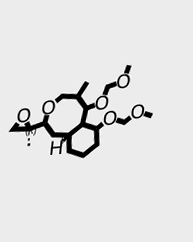 COCOC1CCC[C@@H]2CC([C@@]3(C)CO3)OCC(C)C(OCOC)C12